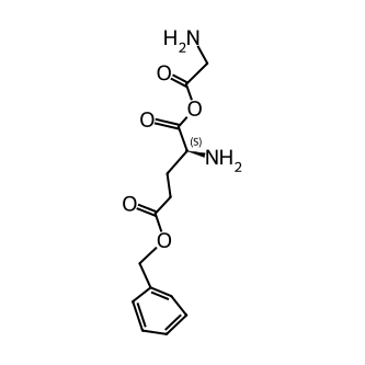 NCC(=O)OC(=O)[C@@H](N)CCC(=O)OCc1ccccc1